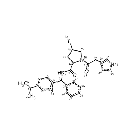 CC(C)c1ccc(C(NC(=O)C2CC(F)CN2C(=O)Cn2cnnc2)c2ccccc2)nc1